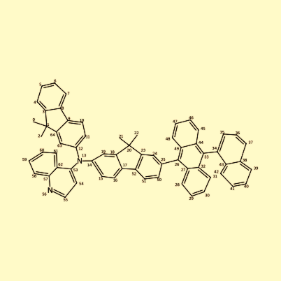 CC1(C)c2ccccc2-c2ccc(N(c3ccc4c(c3)C(C)(C)c3cc(-c5c6ccccc6c(-c6cccc7ccccc67)c6ccccc56)ccc3-4)c3ccnc4ccccc34)cc21